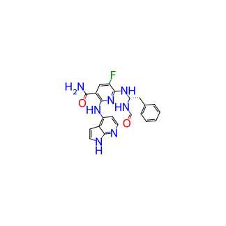 NC(=O)c1cc(F)c(N[C@H](Cc2ccccc2)NC=O)nc1Nc1ccnc2[nH]ccc12